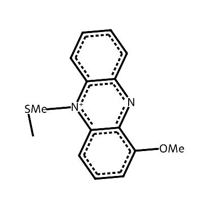 COc1cccc2c1nc1ccccc1[n+]2C.CSC